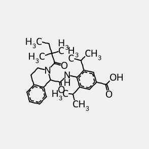 CCC(C)(C)C(=O)N1CCc2ccccc2C1C(=O)Nc1c(C(C)C)cc(C(=O)O)cc1C(C)C